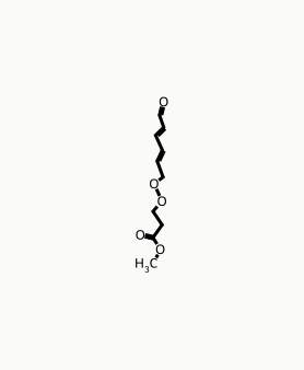 COC(=O)CCOOC/C=C/C=C/C=O